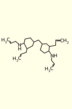 C=CCNC1CCC(CC2CCC(NCC=C)C(CC=C)C2)CC1CC=C